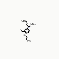 CN/N=C(\COC=O)c1ccc(NCCC#N)c(CF)c1